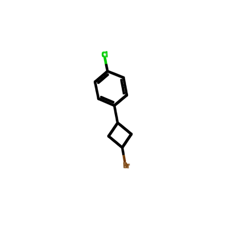 Clc1ccc(C2CC(Br)C2)cc1